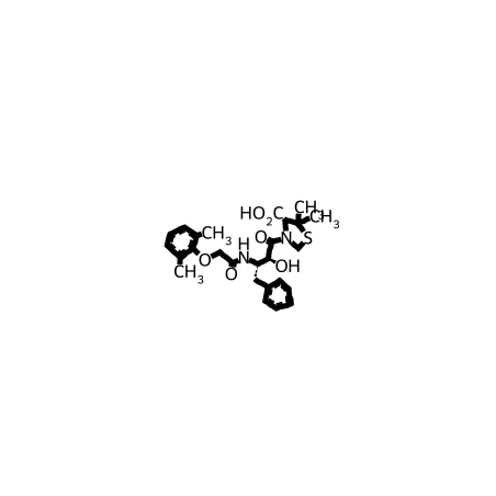 Cc1cccc(C)c1OCC(=O)N[C@@H](Cc1ccccc1)[C@H](O)C(=O)N1CSC(C)(C)C1C(=O)O